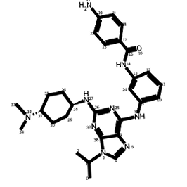 CC(C)n1cnc2c(Nc3cccc(NC(=O)c4ccc(N)cc4)c3)nc(N[C@H]3CC[C@H](N(C)C)CC3)nc21